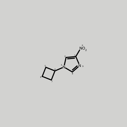 O=[N+]([O-])c1cn(C2CCC2)cn1